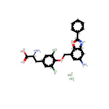 Cl.Cl.Nc1cc(COc2c(Cl)cc(C[C@H](N)C(=O)O)cc2Cl)c2oc(-c3ccccc3)nc2c1